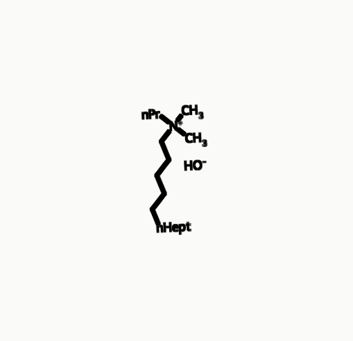 CCCCCCCCCCCC[N+](C)(C)CCC.[OH-]